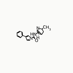 CC1CC2CCN1C[C@@H]2NC(=O)n1ccc(-c2ccccc2)c1